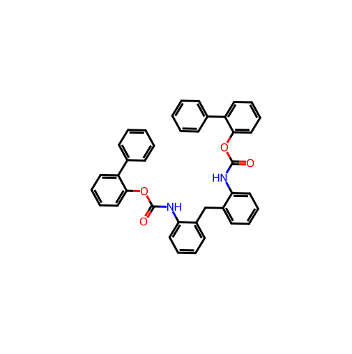 O=C(Nc1ccccc1Cc1ccccc1NC(=O)Oc1ccccc1-c1ccccc1)Oc1ccccc1-c1ccccc1